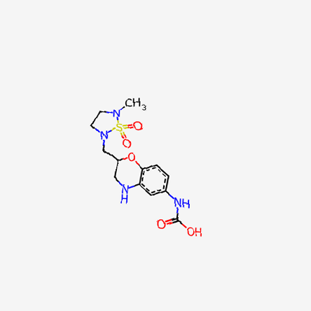 CN1CCN(CC2CNc3cc(NC(=O)O)ccc3O2)S1(=O)=O